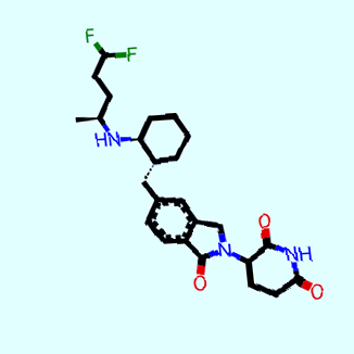 C[C@@H](CCC(F)F)N[C@H]1CCCC[C@@H]1Cc1ccc2c(c1)CN(C1CCC(=O)NC1=O)C2=O